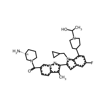 Cc1c(-c2cc3cc(F)cc(C4CCN(C(C)O)CC4)c3n2CC2CC2)nn2cc(C(=O)N3CCC[C@@H](N)C3)ccc12